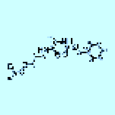 CC(=O)OOCCCNC(=O)C(C)NC(=O)OCc1ccccc1